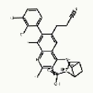 N#CCCc1cc2c(N[C@H]3C4CC3N(C(=O)O)C4)c(I)c(Cl)nc2c(F)c1-c1cccc(Cl)c1Cl